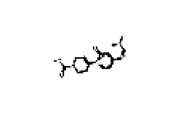 CN(C)/C=N\c1ccn(C2=CCN(C(=O)O)CC2)c(=O)c1